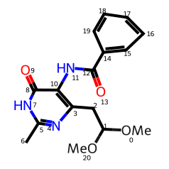 COC(Cc1nc(C)[nH]c(=O)c1NC(=O)c1ccccc1)OC